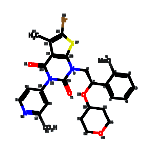 COc1ccccc1[C@H](Cn1c(=O)n(-c2ccnc(C(=O)O)c2)c(=O)c2c(C)c(Br)sc21)OC1CCOCC1